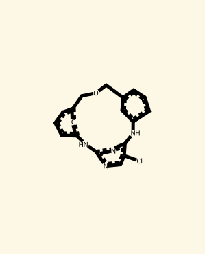 Clc1cnc2nc1Nc1cccc(c1)COCc1cccc(c1)N2